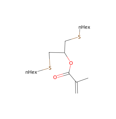 C=C(C)C(=O)OC(CSCCCCCC)CSCCCCCC